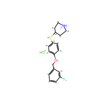 Cl.Fc1cccc(COc2ccc(SC3CCNCC3)cc2)c1